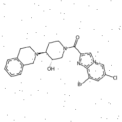 O=C(c1cn2cc(Cl)cc(Br)c2n1)N1CC[C@H](N2CCc3ccccc3C2)[C@@H](O)C1